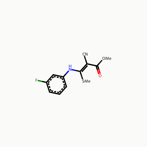 COC(=O)/C(C#N)=C(/Nc1cccc(F)c1)SC